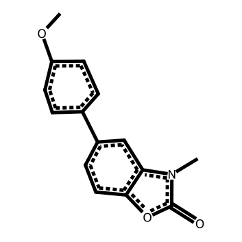 COc1ccc(-c2ccc3oc(=O)n(C)c3c2)cc1